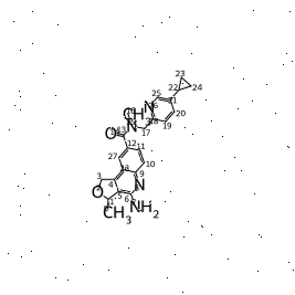 C[C@H]1OCc2c1c(N)nc1ccc(C(=O)N(C)Cc3ccc(C4CC4)cn3)cc21